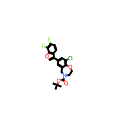 CC(C)(C)OC(=O)N1CCOc2c(Cl)cc(-c3coc4c(F)c(F)ccc34)cc2C1